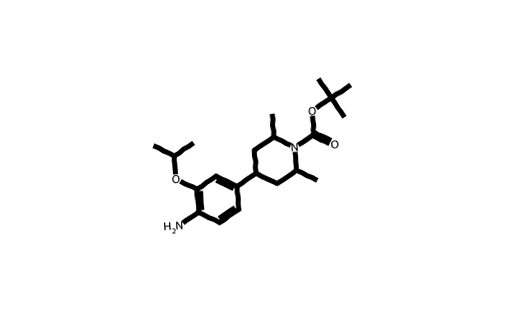 CC(C)Oc1cc(C2CC(C)N(C(=O)OC(C)(C)C)C(C)C2)ccc1N